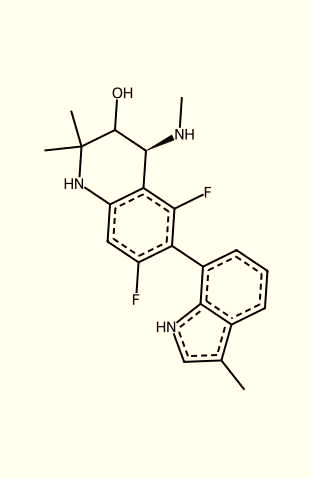 CN[C@H]1c2c(cc(F)c(-c3cccc4c(C)c[nH]c34)c2F)NC(C)(C)C1O